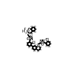 CN(Cc1nnc(-c2cccc(-c3ccc4c(c3)N(Cc3nnc(-c5ccccc5Cl)o3)CCC4)c2Cl)o1)Cc1ccccc1C(F)(F)F